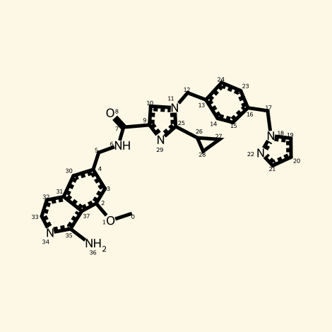 COc1cc(CNC(=O)c2cn(Cc3ccc(Cn4cccn4)cc3)c(C3CC3)n2)cc2ccnc(N)c12